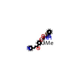 COc1cc(C(=O)C=Cc2ccncc2)ccc1OCC(=O)Nc1nc2ccccc2s1